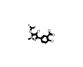 Cn1nc(-c2ccc(Cl)c(C(=O)Cl)c2)c(Cl)c1OC(F)F